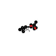 CC1(C)c2cc(C#Cc3ccc(N(c4ccccc4)c4c(-c5ccccc5)cc(-c5ccccc5)cc4-c4ccccc4)cc3)ccc2-c2ccc3c4ccccc4n(-c4ccccc4)c3c21